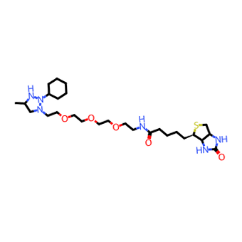 CC1CN(CCOCCOCCOCCNC(=O)CCCC[C@H]2SCC3NC(=O)NC32)N(C2CCCCC2)N1